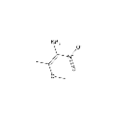 COC(C)=C(N)[N+](=O)[O-]